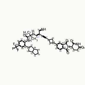 CC(C)(N/C=C(/C#CC1CN(c2ccc3c(c2)C(=O)N(C2CCC(=O)NC2=O)C3=O)C1)C=N)C(=O)Nc1ccc(C(F)(F)F)cc1N1CC2CCCC2C1